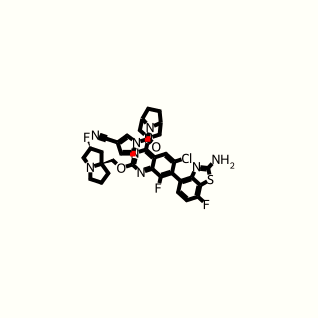 N#Cc1ccn(C(=O)N2C3CCC2CN(c2nc(OC[C@@]45CCCN4C[C@H](F)C5)nc4c(F)c(-c5ccc(F)c6sc(N)nc56)c(Cl)cc24)C3)c1